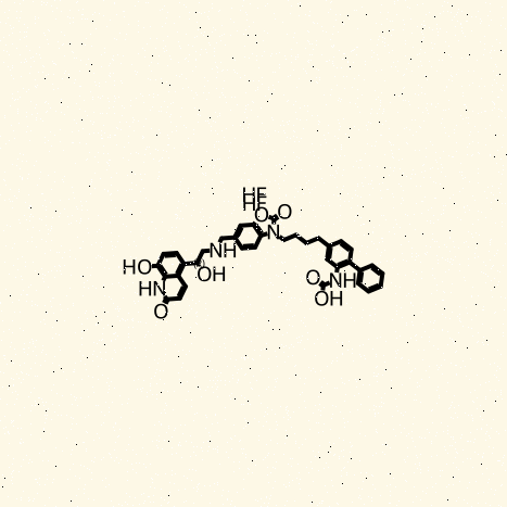 F.F.O=C(O)Nc1cc(CCCCn2c(=O)oc3cc(CNC[C@H](O)c4ccc(O)c5[nH]c(=O)ccc45)ccc32)ccc1-c1ccccc1